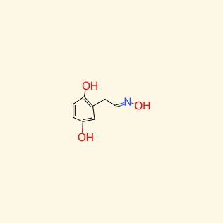 ON=CCc1cc(O)ccc1O